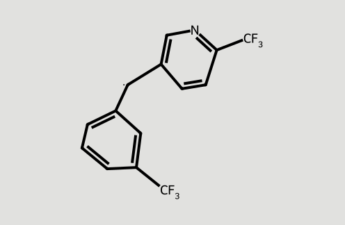 FC(F)(F)c1cccc([CH]c2ccc(C(F)(F)F)nc2)c1